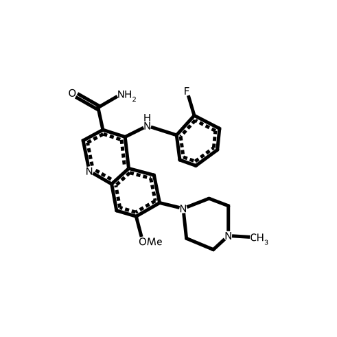 COc1cc2ncc(C(N)=O)c(Nc3ccccc3F)c2cc1N1CCN(C)CC1